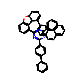 C1=CC2Oc3cccc(-c4nc(-c5ccccc5)nc(-c5ccc(-c6ccccc6)cc5)n4)c3C2C(c2ccc3ccc4ccccc4c3c2)=C1